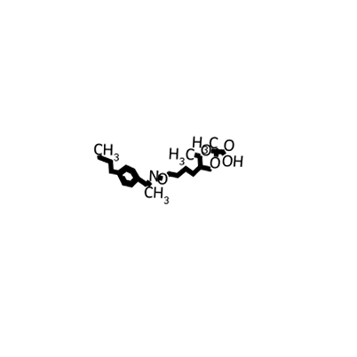 CCCCc1ccc(C(C)=NOCCCCC2COC(C)(C(=O)O)OC2C)cc1